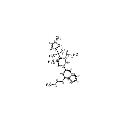 CC(C)(c1nnc(C(F)(F)F)o1)c1c(N)nc(-c2cn3ncnc3c(CCCC(F)(F)F)n2)nc1NC=O